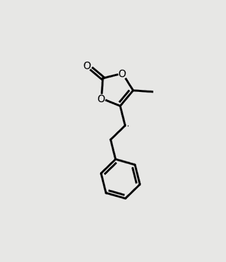 Cc1oc(=O)oc1[CH]Cc1ccccc1